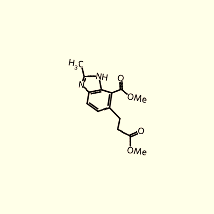 COC(=O)CCc1ccc2nc(C)[nH]c2c1C(=O)OC